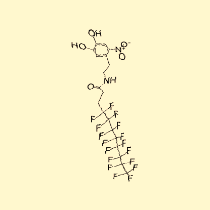 O=C(CCC(F)(F)C(F)(F)C(F)(F)C(F)(F)C(F)(F)C(F)(F)C(F)(F)C(F)(F)F)NCCc1cc(O)c(O)cc1[N+](=O)[O-]